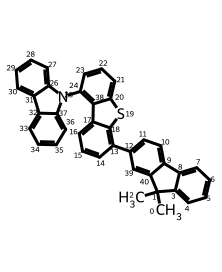 CC1(C)c2ccccc2-c2ccc(-c3cccc4c3sc3cccc(-n5c6ccccc6c6ccccc65)c34)cc21